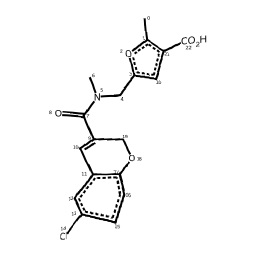 Cc1oc(CN(C)C(=O)C2=Cc3cc(Cl)ccc3OC2)cc1C(=O)O